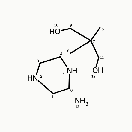 C1CNCCN1.CC(C)(CO)CO.N